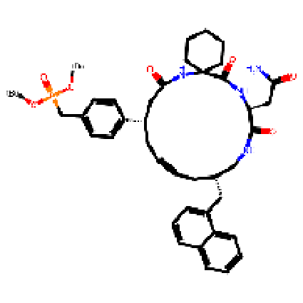 CC(C)(C)OP(=O)(Cc1ccc([C@H]2CC=CC[C@@H](Cc3cccc4ccccc34)CNC(=O)[C@H](CC(N)=O)NC(=O)C3(CCCCC3)NC(=O)C2)cc1)OC(C)(C)C